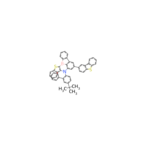 CC(C)(C)c1ccc(N2c3cc(-c4ccc5sc6ccccc6c5c4)cc4c3B(c3ccccc3-4)c3sc4ccccc4c32)c(-c2ccccc2)c1